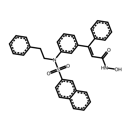 O=C(C=C(c1ccccc1)c1cccc(N(CCc2ccccc2)S(=O)(=O)c2ccc3ccccc3c2)c1)NO